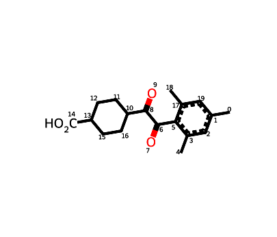 Cc1cc(C)c(C(=O)C(=O)C2CCC(C(=O)O)CC2)c(C)c1